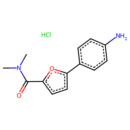 CN(C)C(=O)c1ccc(-c2ccc(N)cc2)o1.Cl